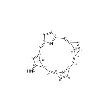 N=C1C=C2C=C3C=CC(=N3)C=c3ccc([nH]3)=CC3=NC(=CC1N2)C=C3